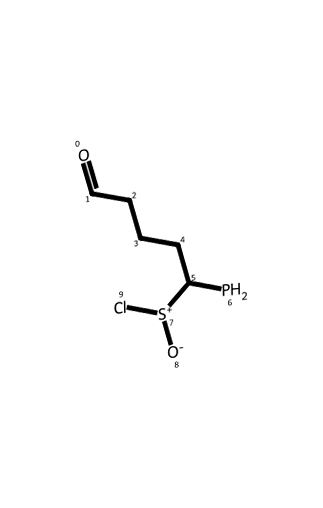 O=CCCCC(P)[S+]([O-])Cl